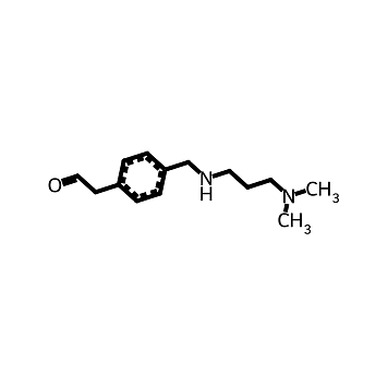 CN(C)CCCNCc1ccc(CC=O)cc1